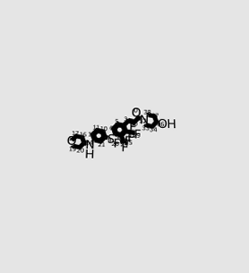 O=C(/C=C/c1ccc(Sc2cccc(NC3CCOCC3)c2)c(C(F)(F)F)c1C(F)(F)F)N1CCC(O)CC1